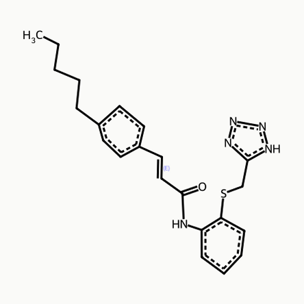 CCCCCc1ccc(/C=C/C(=O)Nc2ccccc2SCc2nnn[nH]2)cc1